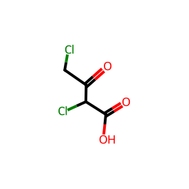 O=C(O)C(Cl)C(=O)CCl